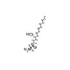 CCCCCCCCCCCCCCOC(=O)C(C)(C)N.Cl